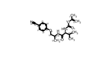 C=C(C)OC(=O)N[C@H](C(=O)NC(C)COc1ccc(C#N)cc1)C(C)C